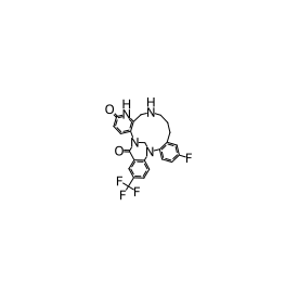 O=C1c2cc(C(F)(F)F)ccc2N2CN1c1ccc(=O)[nH]c1CNCCCc1cc(F)ccc12